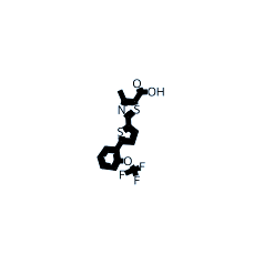 Cc1nc(-c2ccc(-c3ccccc3OC(F)(F)F)s2)sc1C(=O)O